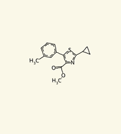 COC(=O)c1nc(C2CC2)sc1-c1cccc(C)c1